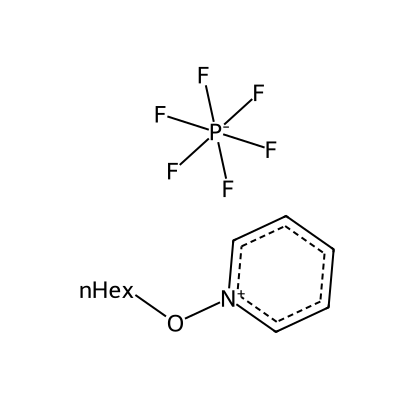 CCCCCCO[n+]1ccccc1.F[P-](F)(F)(F)(F)F